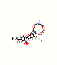 COc1cc2cc(-c3ccc(C(C)=O)cc3C(=O)O)oc2cc1N1CCOCCNCCOCCOCC1